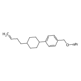 C=CCCC1CCC(c2ccc(COCCC)cc2)CC1